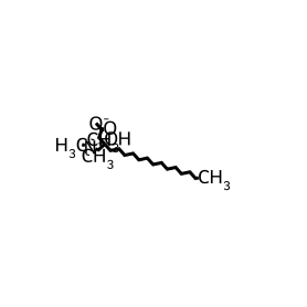 CCCCCCCCCCCCCCC(O)(CC(=O)[O-])C[N+](C)(C)C